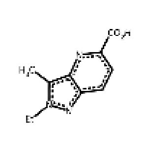 CCn1nc2ccc(C(=O)O)nc2c1C